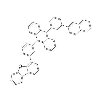 c1cc(-c2ccc3ccccc3c2)cc(-c2c3ccccc3c(-c3cccc(-c4cccc5c4oc4ccccc45)c3)c3ccccc23)c1